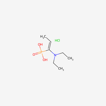 C/C=C(/N(CC)CC)P(=O)(O)O.Cl